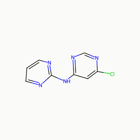 Clc1cc(Nc2ncccn2)ncn1